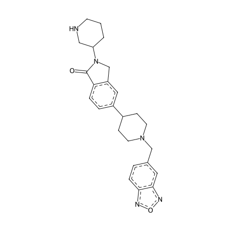 O=C1c2ccc(C3CCN(Cc4ccc5nonc5c4)CC3)cc2CN1C1CCCNC1